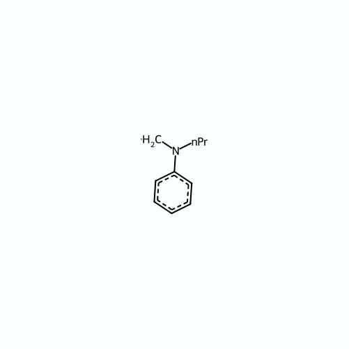 [CH2]N(CCC)c1ccccc1